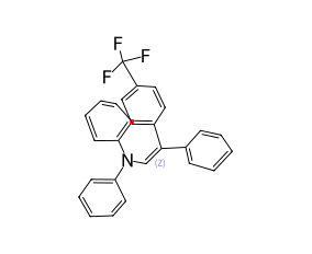 FC(F)(F)c1ccc(/C(=C\N(c2ccccc2)c2ccccc2)c2ccccc2)cc1